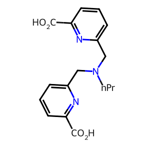 CCCN(Cc1cccc(C(=O)O)n1)Cc1cccc(C(=O)O)n1